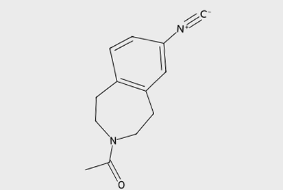 [C-]#[N+]c1ccc2c(c1)CCN(C(C)=O)CC2